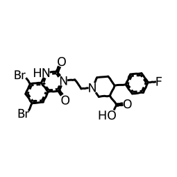 O=C(O)C1CN(CCn2c(=O)[nH]c3c(Br)cc(Br)cc3c2=O)CCC1c1ccc(F)cc1